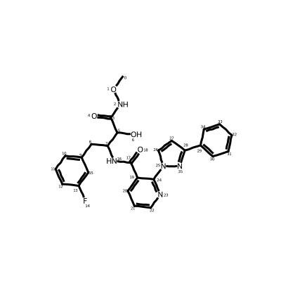 CONC(=O)C(O)C(Cc1cccc(F)c1)NC(=O)c1cccnc1-n1ccc(-c2ccccc2)n1